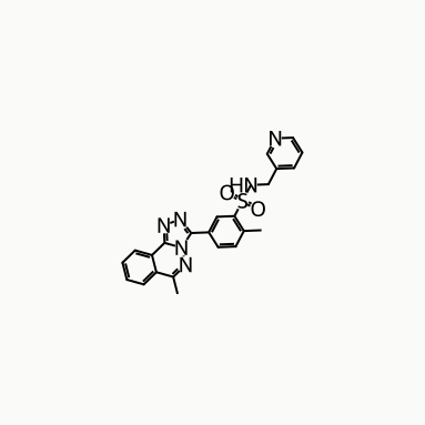 Cc1ccc(-c2nnc3c4ccccc4c(C)nn23)cc1S(=O)(=O)NCc1cccnc1